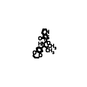 CC(C)C(NC(=O)n1sc2ncccc2c1=O)c1ccc2c(c1)OCCCO2